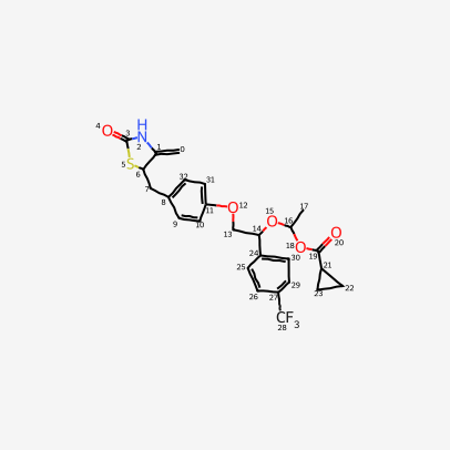 C=C1NC(=O)SC1Cc1ccc(OCC(OC(C)OC(=O)C2CC2)c2ccc(C(F)(F)F)cc2)cc1